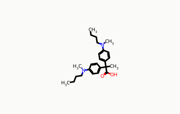 CCCCN(C)c1ccc(C(C)(C(=O)O)c2ccc(N(C)CCCC)cc2)cc1